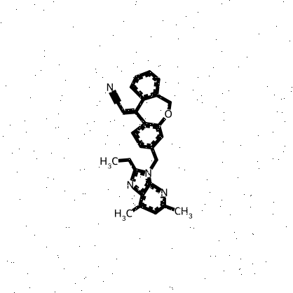 CCc1nc2c(C)cc(C)nc2n1Cc1ccc2c(c1)OCc1ccccc1C2=CC#N